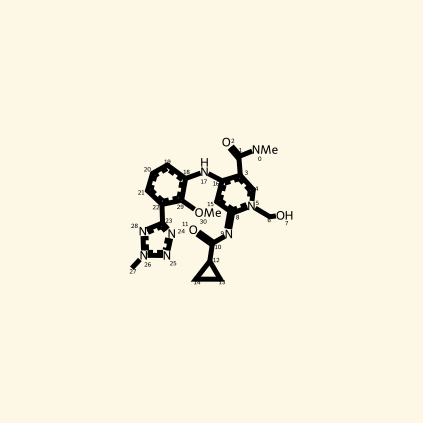 CNC(=O)c1cn(CO)/c(=N/C(=O)C2CC2)cc1Nc1cccc(-c2nnn(C)n2)c1OC